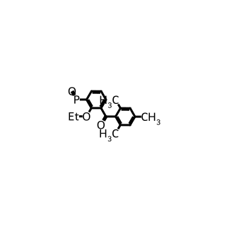 CCOc1c(P=O)cccc1C(=O)c1c(C)cc(C)cc1C